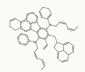 C=Cc1c(CC2CC3=CC=CC4C=CC=C2C34)c(N(C/C=C\C=C/C)C2=CCCC=C2)c2c(c1N(C/C=C\C=C/C)c1ccccc1)-c1cc3c(c4cccc-2c14)C=CCC3